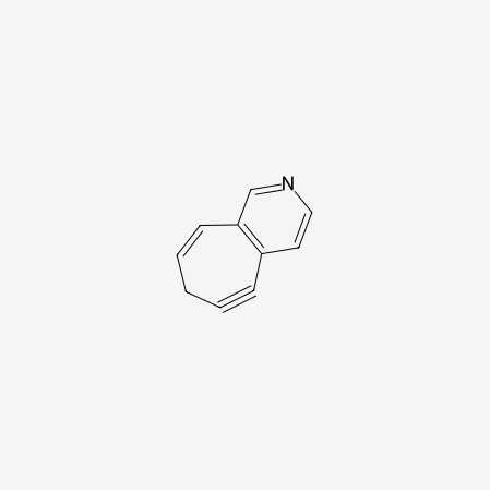 C1#Cc2ccncc2C=CC1